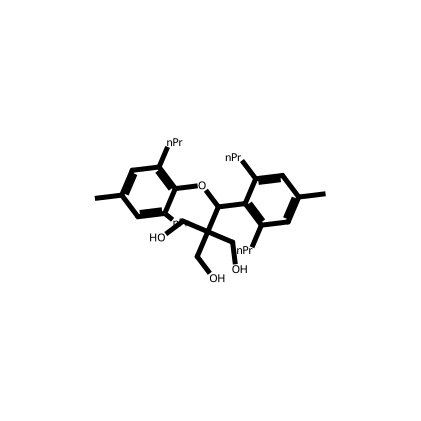 CCCc1cc(C)cc(CCC)c1OC(c1c(CCC)cc(C)cc1CCC)C(CO)(CO)CO